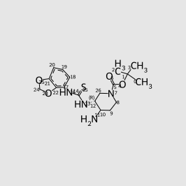 CC(C)(C)OC(=O)N1CCC(N)[C@H](NC(=S)Nc2cccc3c2OCO3)C1